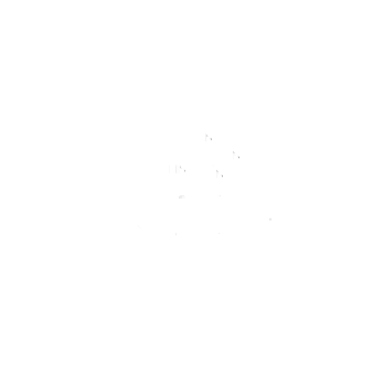 Fc1cccc(Cl)c1[C@@H]1C[C@H](c2ccc(Cl)cc2Cl)Nc2ncnn21